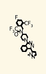 Cn1nccc1-c1nnc(N2CCC(N(Cc3ccc(F)cc3C(F)(F)F)C(=O)C(F)(F)F)CC2)c2ccccc12